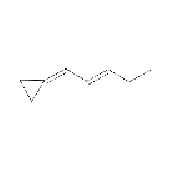 CCC=CC=C1CC1